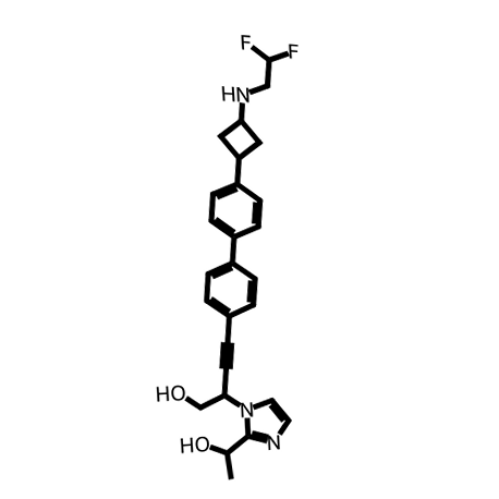 CC(O)c1nccn1C(C#Cc1ccc(-c2ccc(C3CC(NCC(F)F)C3)cc2)cc1)CO